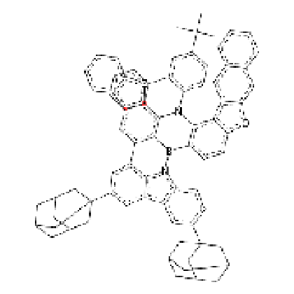 CC(C)(C)c1ccc(N2c3c4c(cc5c3oc3ccccc35)-c3cc(C56CC7CC(CC(C7)C5)C6)cc5c6cc(C78CC9CC(CC(C9)C7)C8)ccc6n(c35)B4c3ccc4oc5cc6ccccc6cc5c4c32)c(-c2ccccc2)c1